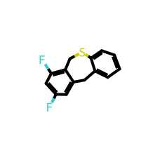 Fc1cc(F)c2c(c1)Cc1ccccc1SC2